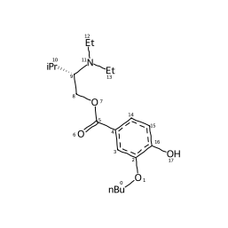 CCCCOc1cc(C(=O)OC[C@H](C(C)C)N(CC)CC)ccc1O